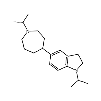 CC(C)N1CCCC(c2ccc3c(c2)CCN3C(C)C)CC1